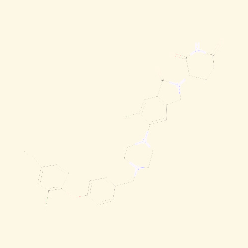 N#Cc1ccc(Oc2ccc(CN3CCN(c4cc5c(cc4F)C(=O)N(C4CCC(=O)NC4=O)C5)CC3)cc2)c(F)c1